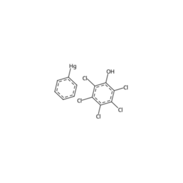 Oc1c(Cl)c(Cl)c(Cl)c(Cl)c1Cl.[Hg][c]1ccccc1